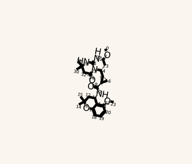 COCC[C@H]([C@@H]1C[C@H]1C(=O)N[C@H]1CC(C)(C)Oc2cccc(OC)c21)N1C(=N)NC(C)(C)CC1=O